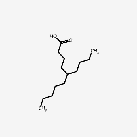 CCCCCC(CCCC)CCCC(=O)O